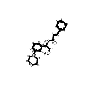 O=C(C=Cc1ccccc1)NC(CO)c1cccc(N2CCOCC2)c1